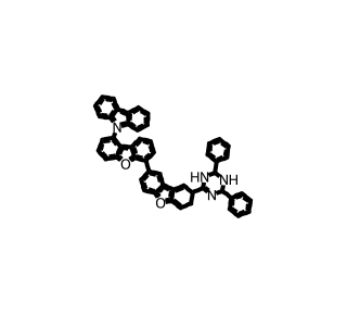 C1=c2oc3ccc(-c4cccc5c4oc4cccc(-n6c7ccccc7c7ccccc76)c45)cc3c2=CC(C2=NC(c3ccccc3)NC(c3ccccc3)N2)C1